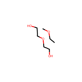 CCOC.OCCOCCO